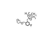 CC(C)(C)OC(=O)Cc1cc(F)ccc1CO[C@H]1CCOC1